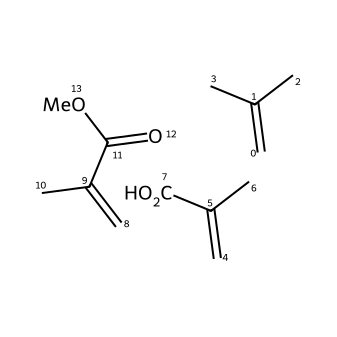 C=C(C)C.C=C(C)C(=O)O.C=C(C)C(=O)OC